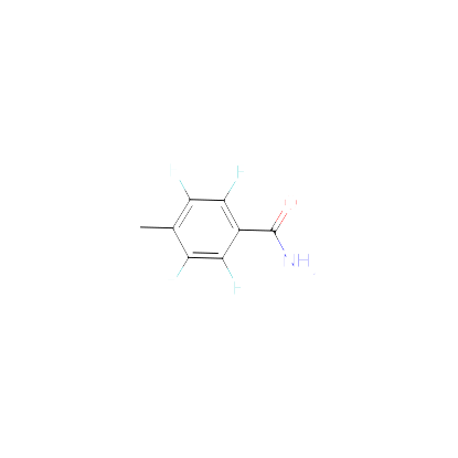 Cc1c(F)c(F)c(C(N)=O)c(F)c1F